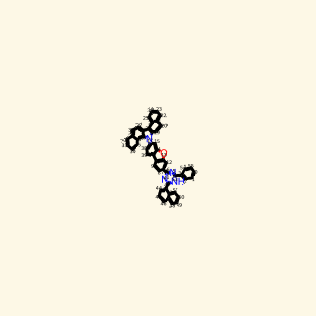 c1ccc(C2N=C(c3ccc4c(c3)oc3cc(-n5c6ccc7ccccc7c6c6ccc7ccccc7c65)ccc34)N=C(c3cccc4ccccc34)N2)cc1